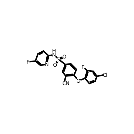 N#Cc1cc(S(=O)(=O)Nc2ccc(F)cn2)ccc1Oc1ccc(Cl)cc1F